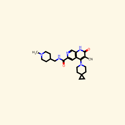 CN1CCC(CNC(=O)c2cc3c(N4CCC5(CC4)CC5)c(C#N)c(=O)[nH]c3cn2)CC1